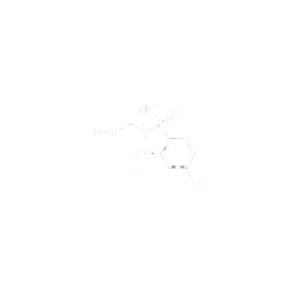 CCCC(C)CSP(O)(=S)c1ccc(Cl)cc1Cl.Cl